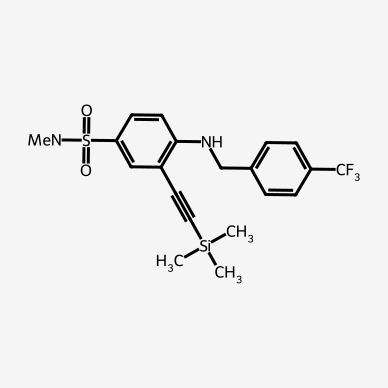 CNS(=O)(=O)c1ccc(NCc2ccc(C(F)(F)F)cc2)c(C#C[Si](C)(C)C)c1